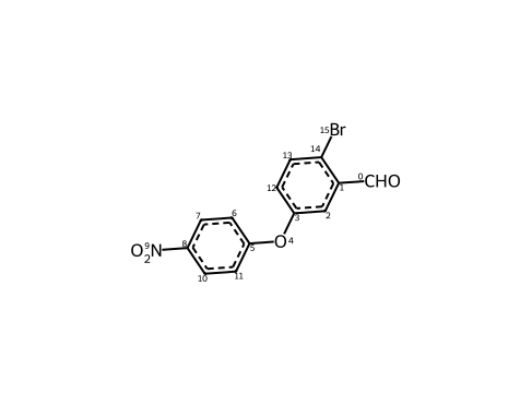 O=Cc1cc(Oc2ccc([N+](=O)[O-])cc2)ccc1Br